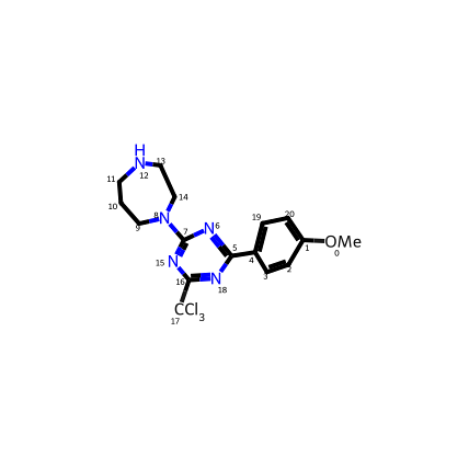 COc1ccc(-c2nc(N3CCCNCC3)nc(C(Cl)(Cl)Cl)n2)cc1